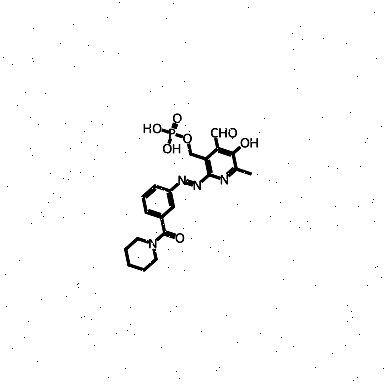 Cc1nc(N=Nc2cccc(C(=O)N3CCCCC3)c2)c(COP(=O)(O)O)c(C=O)c1O